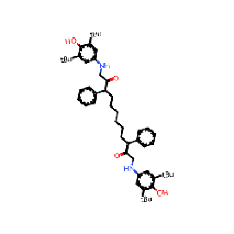 CC(C)(C)c1cc(NCC(=O)C(CCCCCCC(C(=O)CNc2cc(C(C)(C)C)c(O)c(C(C)(C)C)c2)c2ccccc2)c2ccccc2)cc(C(C)(C)C)c1O